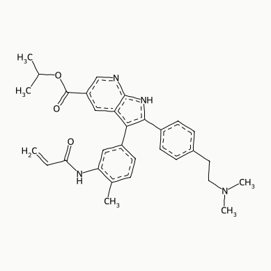 C=CC(=O)Nc1cc(-c2c(-c3ccc(CCN(C)C)cc3)[nH]c3ncc(C(=O)OC(C)C)cc23)ccc1C